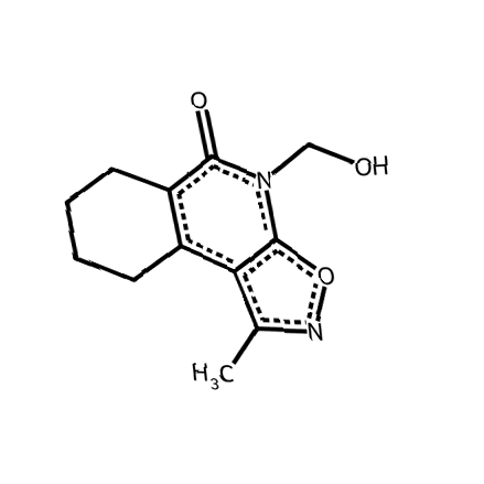 Cc1noc2c1c1c(c(=O)n2CO)CCCC1